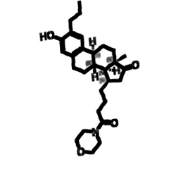 CCCc1cc2c(cc1O)CC[C@H]1[C@@H]3[C@H](CCCC(=O)N4CCOCC4)CC(=O)[C@@]3(C)CC[C@H]21